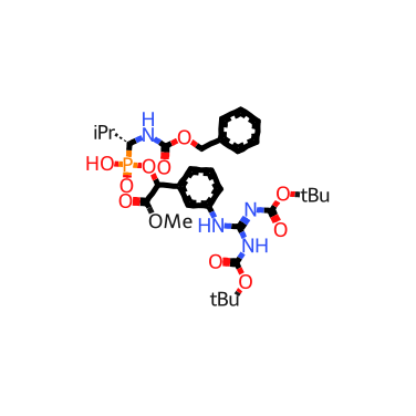 COC(=O)C(OP(=O)(O)[C@@H](NC(=O)OCc1ccccc1)C(C)C)c1cccc(NC(=NC(=O)OC(C)(C)C)NC(=O)OC(C)(C)C)c1